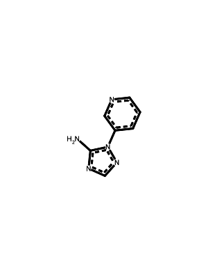 Nc1ncnn1-c1cccnc1